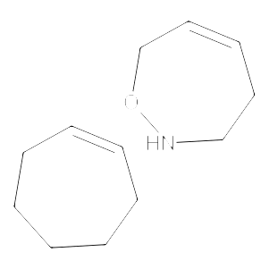 C1=CCCCCC1.C1=CCONCC1